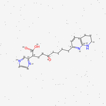 O=C(CCCCc1ccc2c(n1)NCCC2)CCC(C(=O)O)c1cnccn1